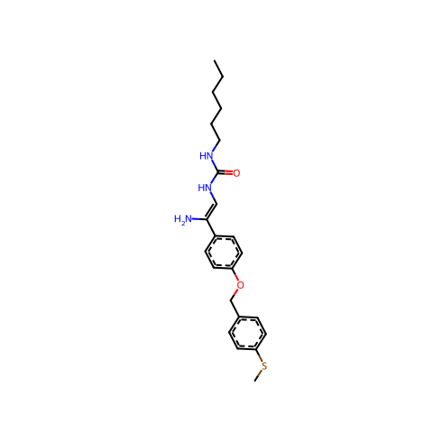 CCCCCCNC(=O)N/C=C(\N)c1ccc(OCc2ccc(SC)cc2)cc1